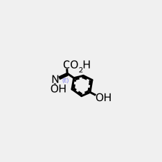 O=C(O)/C(=N/O)c1ccc(O)cc1